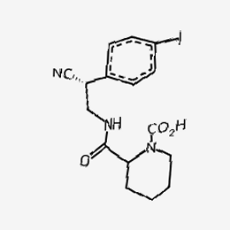 N#C[C@@H](CNC(=O)C1CCCCN1C(=O)O)c1ccc(I)cc1